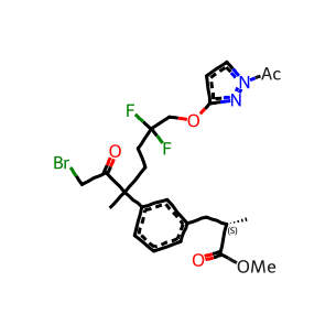 COC(=O)[C@@H](C)Cc1cccc(C(C)(CCC(F)(F)COc2ccn(C(C)=O)n2)C(=O)CBr)c1